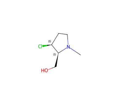 CN1CC[C@H](Cl)[C@@H]1CO